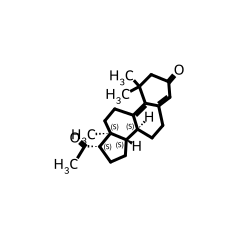 CC(=O)[C@H]1CC[C@H]2[C@@H]3CCC4=CC(=O)CC(C)(C)C4=C3CC[C@]12C